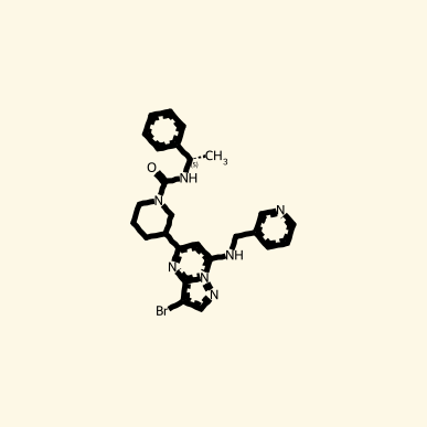 C[C@H](NC(=O)N1CCCC(c2cc(NCc3cccnc3)n3ncc(Br)c3n2)C1)c1ccccc1